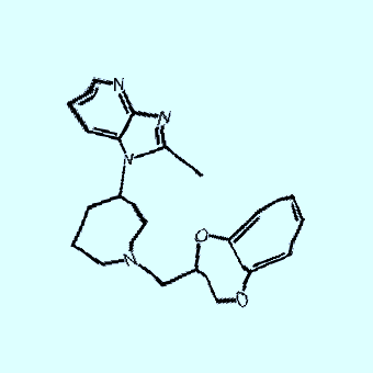 Cc1nc2ncccc2n1C1CCCN(CC2COc3ccccc3O2)C1